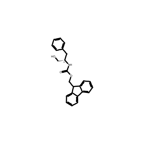 O=C(N[C@H](CO)Cc1ccccc1)OCC1c2ccccc2-c2ccccc21